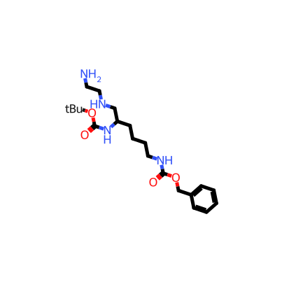 CC(C)(C)OC(=O)NC(CCCCNC(=O)OCc1ccccc1)CNCCN